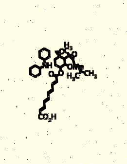 C1CCC(NC2CCCCC2)CC1.COC1C(OC(=O)C=CC=CC=CC=CC(=O)O)CCC2(CO2)C1C1(C)OC1CC=C(C)C